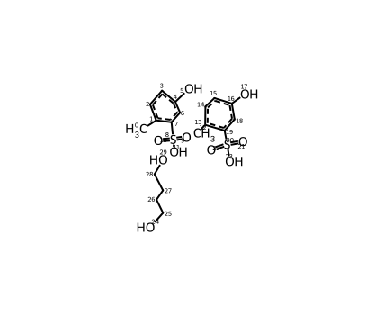 Cc1ccc(O)cc1S(=O)(=O)O.Cc1ccc(O)cc1S(=O)(=O)O.OCCCCO